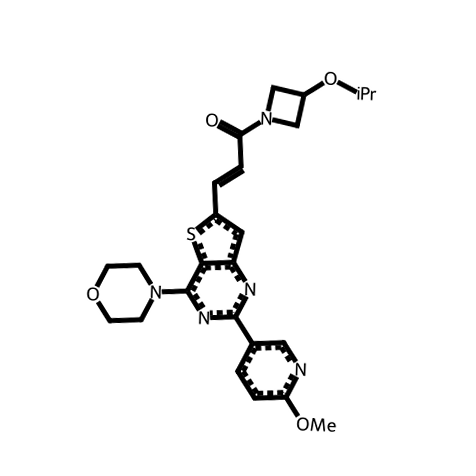 COc1ccc(-c2nc(N3CCOCC3)c3sc(/C=C/C(=O)N4CC(OC(C)C)C4)cc3n2)cn1